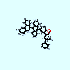 c1ccc(-c2ccc3oc4ccc(-c5c6ccccc6c(-c6cc7ccccc7c7ccccc67)c6ccccc56)cc4c3c2)cc1